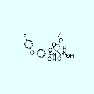 CCOC1CC(NS(=O)(=O)c2ccc(Oc3ccc(F)cc3)cc2)(C(=O)NO)CO1